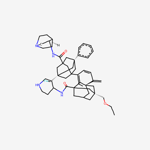 C=C(/C=C\C(=C/C)C12CC3(C(=O)N[C@H]4CN5CCC4CC5)C[C@](CF)(C1)C[C@@](c1ccccc1)(C3)C2)[C@]12CC3CC(C(=O)NC4CCNCC4)(C[C@](COCC)(C3)C1)C2